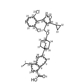 CCn1nc(C(=O)O)c2ccc(C34CCC(OCc5c(-c6c(Cl)cncc6Cl)noc5C5CC5)(CC3)CC4)nc21